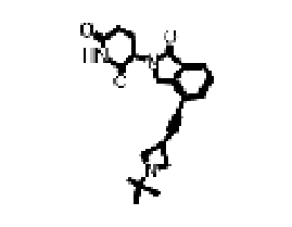 CC(C)(C)N1CC(C#Cc2cccc3c2CN(C2CCC(=O)NC2=O)C3=O)C1